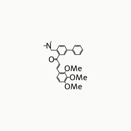 COc1ccc(C=CC(=O)c2cc(-c3ccccc3)ccc2CN(C)C)c(OC)c1OC